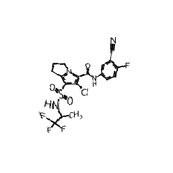 CC(NS(=O)(=O)c1c(Cl)c(C(=O)Nc2ccc(F)c(C#N)c2)n2c1CCC2)C(F)(F)F